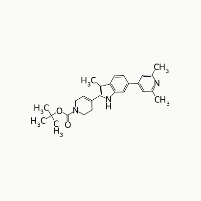 Cc1cc(-c2ccc3c(C)c(C4=CCN(C(=O)OC(C)(C)C)CC4)[nH]c3c2)cc(C)n1